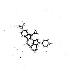 CN1CCC(n2nc(-c3c(Cl)c4ccc(C(N)=O)cc4n3C3CC3)c3c(N)ncnc32)CC1